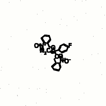 C=C[Si](OCc1ccccc1[N+](=O)[O-])(OCc1ccccc1[N+](=O)[O-])c1ccc(F)cc1